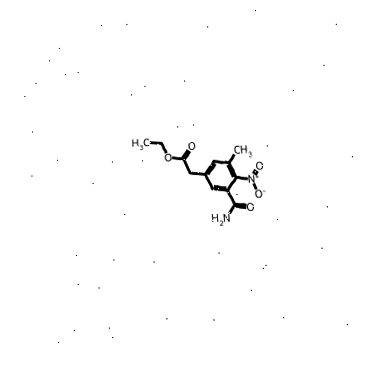 CCOC(=O)Cc1cc(C)c([N+](=O)[O-])c(C(N)=O)c1